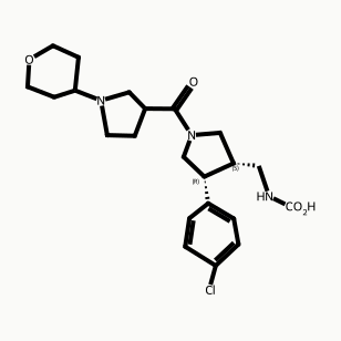 O=C(O)NC[C@H]1CN(C(=O)C2CCN(C3CCOCC3)C2)C[C@H]1c1ccc(Cl)cc1